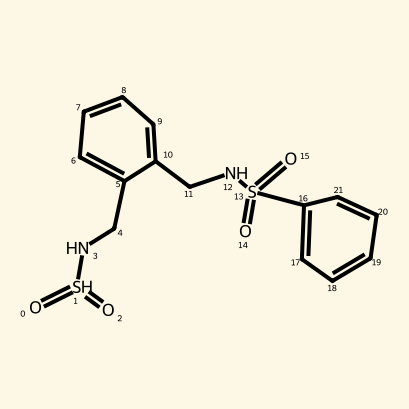 O=[SH](=O)NCc1ccccc1CNS(=O)(=O)c1ccccc1